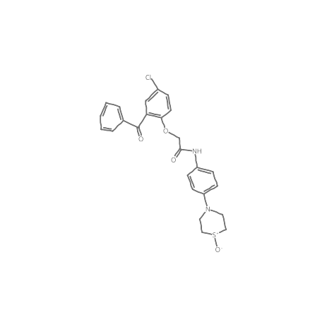 O=C(COc1ccc(Cl)cc1C(=O)c1ccccc1)Nc1ccc(N2CC[S+]([O-])CC2)cc1